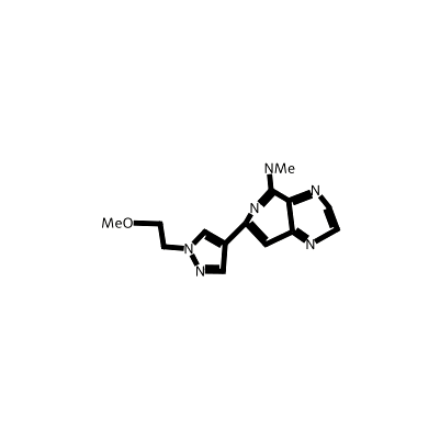 CNc1nc(-c2cnn(CCOC)c2)cc2nccnc12